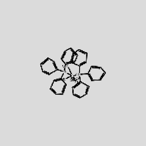 O=[CH][Co]([CH]=O)([CH]=O)([CH]=O)([CH]=O)([PH](c1ccccc1)(c1ccccc1)c1ccccc1)[PH](c1ccccc1)(c1ccccc1)c1ccccc1